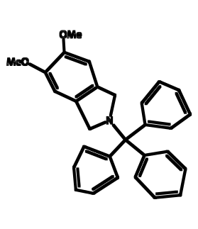 COc1cc2c(cc1OC)CN(C(c1ccccc1)(c1ccccc1)c1ccccc1)C2